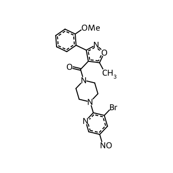 COc1ccccc1-c1noc(C)c1C(=O)N1CCN(c2ncc(N=O)cc2Br)CC1